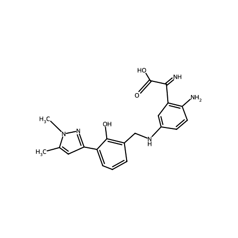 Cc1cc(-c2cccc(CNc3ccc(N)c(C(=N)C(=O)O)c3)c2O)nn1C